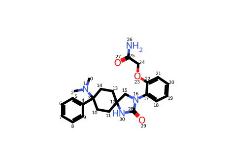 CN(C)C1(c2ccccc2)CCC2(CC1)CN(c1ccccc1OCC(N)=O)C(=O)N2